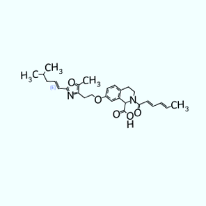 CC=CC=CC(=O)N1CCc2ccc(OCCc3nc(/C=C/CC(C)C)oc3C)cc2C1C(=O)O